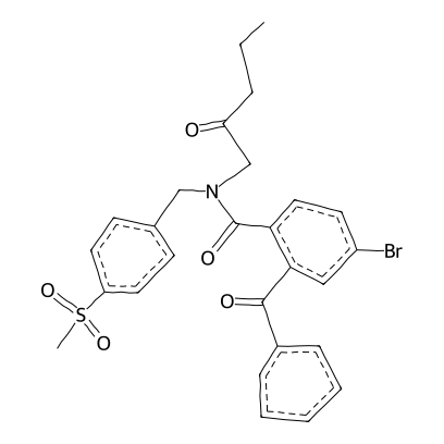 CCCC(=O)CN(Cc1ccc(S(C)(=O)=O)cc1)C(=O)c1ccc(Br)cc1C(=O)c1ccccc1